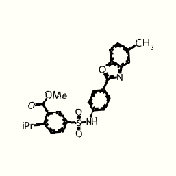 COC(=O)c1cc(S(=O)(=O)Nc2ccc(-c3nc4cc(C)ccc4o3)cc2)ccc1C(C)C